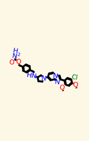 COc1cc(OC)c(-c2cn3ccc(N4CCC(NCc5ccc(COC(N)=O)cc5)C4)cc3n2)cc1Cl